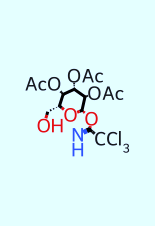 CC(=O)O[C@@H]1[C@H](OC(C)=O)[C@@H](OC(=N)C(Cl)(Cl)Cl)O[C@H](CO)[C@H]1OC(C)=O